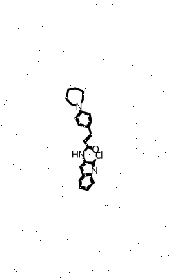 O=C(C=Cc1ccc(N2CCCCCC2)cc1)Nc1cc2ccccc2nc1Cl